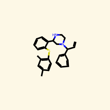 C=CC(c1ccccc1)N1CCNC(c2ccccc2Sc2ccc(C)cc2C)C1